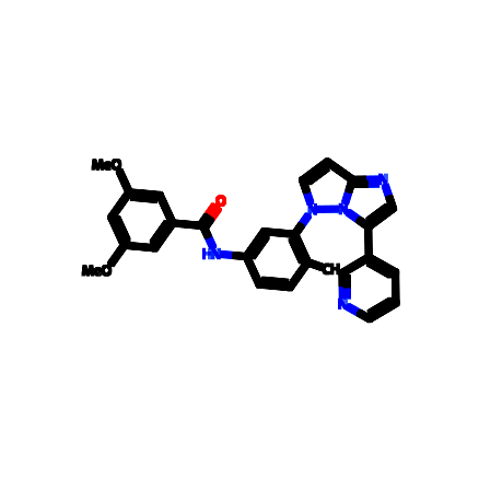 COc1cc(OC)cc(C(=O)Nc2ccc(C)c(-n3ccc4ncc(-c5cccnc5)n43)c2)c1